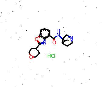 Cl.O=C(NC1CN2CCC1CC2)c1cccc2oc(C3CCOCC3)nc12